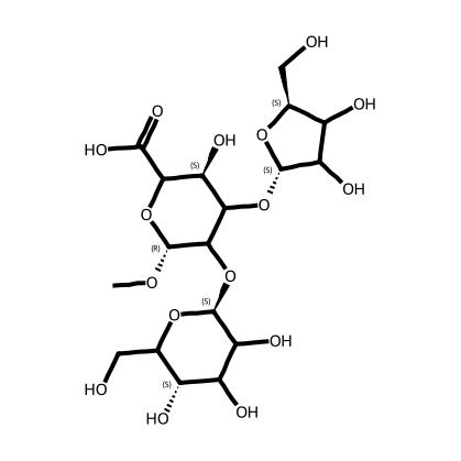 CO[C@@H]1OC(C(=O)O)[C@@H](O)C(O[C@@H]2O[C@@H](CO)C(O)C2O)C1O[C@@H]1OC(CO)[C@@H](O)C(O)C1O